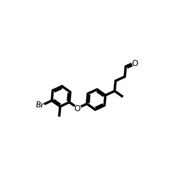 Cc1c(Br)cccc1Oc1ccc(C(C)CCC=O)cc1